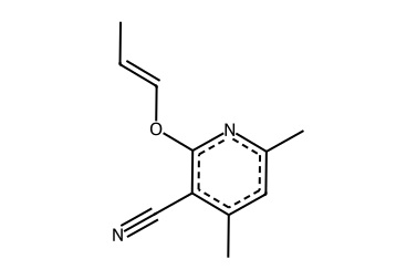 CC=COc1nc(C)cc(C)c1C#N